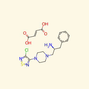 N[C@@H](Cc1ccccc1)CN1CCN(c2nsnc2Cl)CC1.O=C(O)C=CC(=O)O